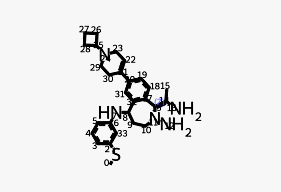 CSc1cccc(NC2CCN(N)/C(=C(/C)N)c3ccc(C4=CCN(C5CCC5)CC4)cc32)c1